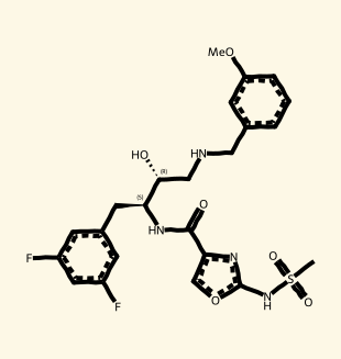 COc1cccc(CNC[C@@H](O)[C@H](Cc2cc(F)cc(F)c2)NC(=O)c2coc(NS(C)(=O)=O)n2)c1